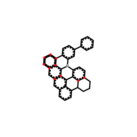 c1ccc(-c2ccc(-c3ccccc3)c(N(c3ccccc3-c3cccc4cccc(C5CCCCC5)c34)c3cccc4ccccc34)c2)cc1